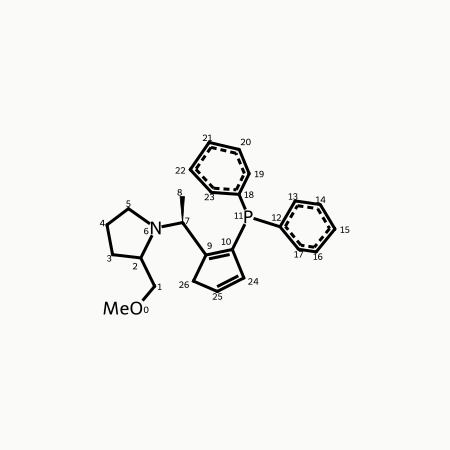 COCC1CCCN1[C@@H](C)C1=C(P(c2ccccc2)c2ccccc2)C=CC1